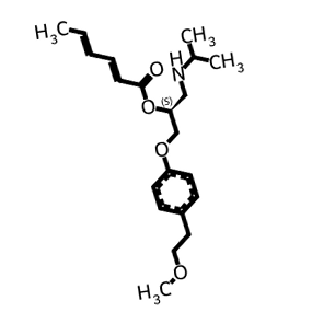 CC=CC=CC(=O)O[C@@H](CNC(C)C)COc1ccc(CCOC)cc1